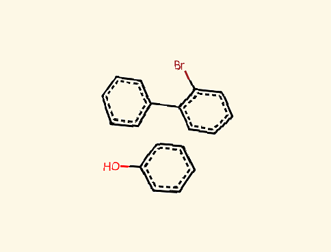 Brc1ccccc1-c1ccccc1.Oc1ccccc1